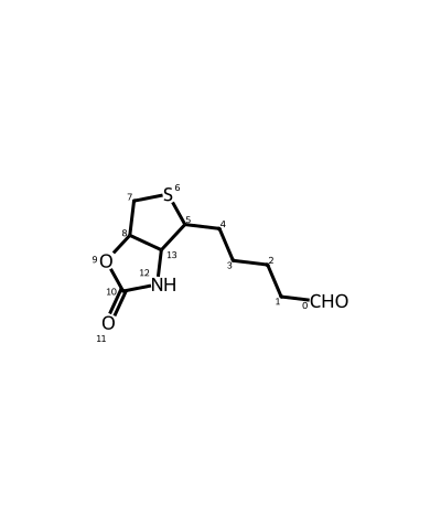 O=CCCCCC1SCC2OC(=O)NC21